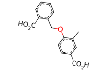 Cc1cc(C(=O)O)ccc1OCc1ccccc1C(=O)O